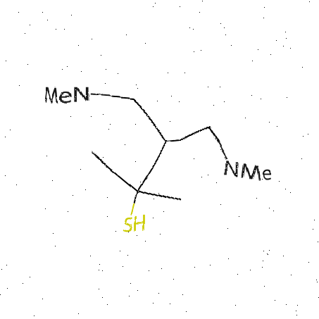 CNCC(CNC)C(C)(C)S